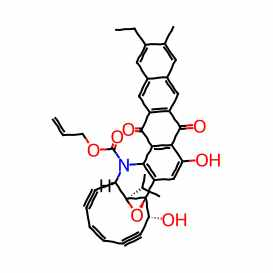 C=CCOC(=O)N1c2c(cc(O)c3c2C(=O)c2cc4cc(CC)c(C)cc4cc2C3=O)[C@@]23O[C@@]2(C(C)C)[C@@H]1C#C/C=C\C#C[C@H]3O